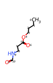 CCCCOC(=O)CCNC=O